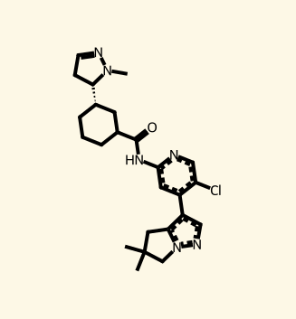 CN1N=CCC1[C@H]1CCCC(C(=O)Nc2cc(-c3cnn4c3CC(C)(C)C4)c(Cl)cn2)C1